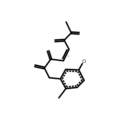 C=C(C)C(=C)/C=C\C(=C)C(=C)Cc1cc(Cl)ccc1C